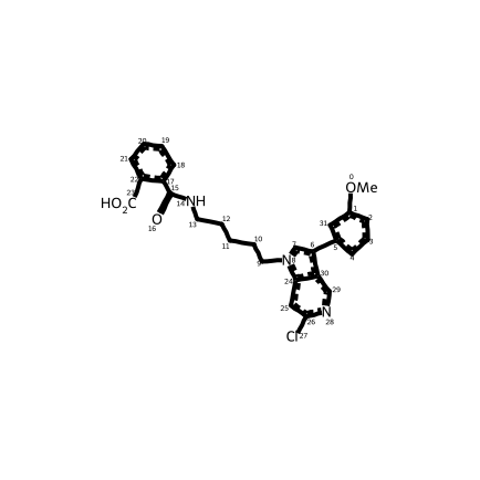 COc1cccc(-c2cn(CCCCCNC(=O)c3ccccc3C(=O)O)c3cc(Cl)ncc23)c1